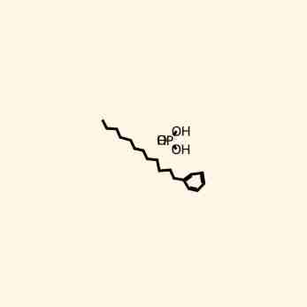 CCCCCCCCCCCCc1ccccc1.O=[PH](O)O